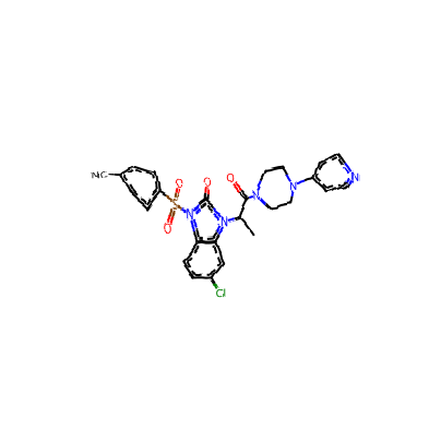 CC(C(=O)N1CCN(c2ccncc2)CC1)n1c(=O)n(S(=O)(=O)c2ccc(C#N)cc2)c2ccc(Cl)cc21